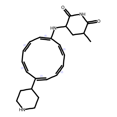 CC1CC(NC2=C/C=C\C=C/C(C3CCNCC3)=C\C=C/C=C\2)C(=O)NC1=O